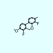 COc1ccc2c(c1F)COc1c-2ccc(C)c1F